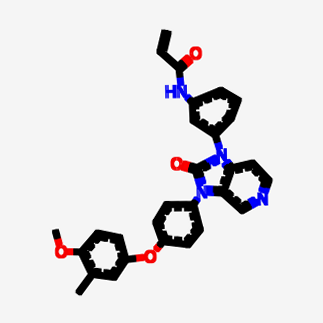 C=CC(=O)Nc1cccc(-n2c(=O)n(-c3ccc(Oc4ccc(OC)c(C)c4)cc3)c3cnccc32)c1